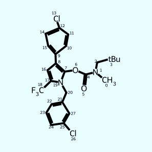 CN(CC(C)(C)C)C(=O)Oc1c(-c2ccc(Cl)cc2)cc(C(F)(F)F)n1Cc1cccc(Cl)c1